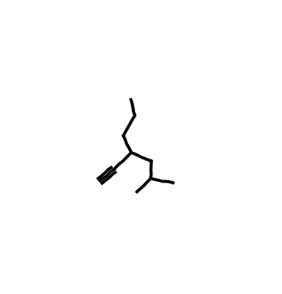 C#CC(CCC)CC(C)C